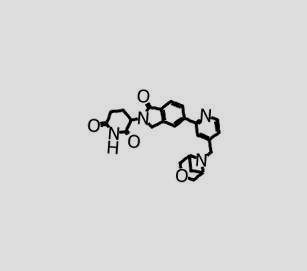 O=C1CCC(N2Cc3cc(-c4cc(CN5C6COCC5C6)ccn4)ccc3C2=O)C(=O)N1